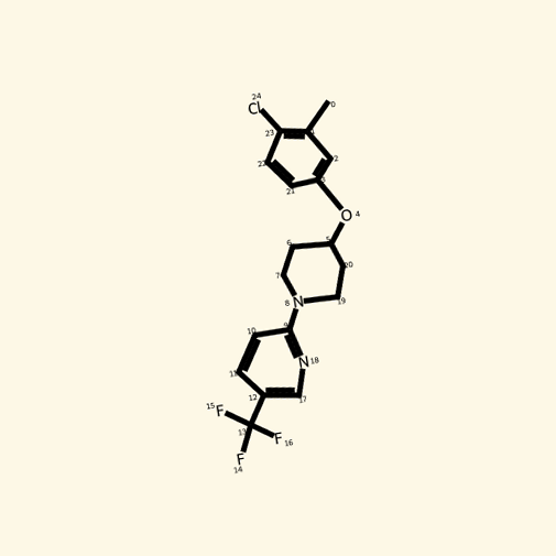 Cc1cc(OC2CCN(c3ccc(C(F)(F)F)cn3)CC2)ccc1Cl